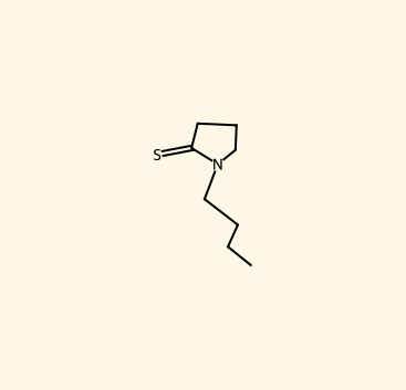 CCCCN1CCCC1=S